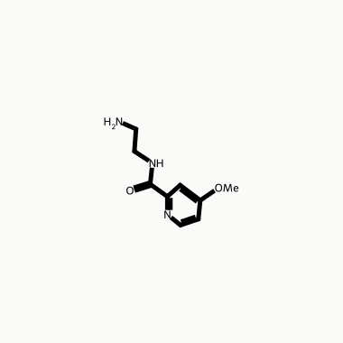 COc1ccnc(C(=O)NCCN)c1